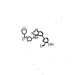 O=Cc1cc(-c2ccc3ncnc(N[C@H]4CCN(C(=O)C5CCOCC5)C4)c3c2)ccc1O